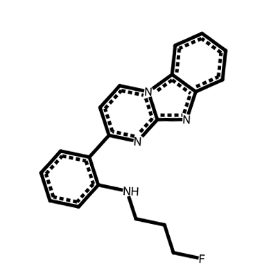 FCCCNc1ccccc1-c1ccn2c(n1)nc1ccccc12